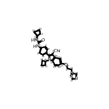 N#Cc1c(-c2ccc(NC(=O)NC3CCC3)cc2)n(C2CCC2)c2ccc(OCCn3cncn3)cc12